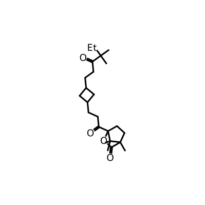 CCC(C)(C)C(=O)CCC1CC(CCC(=O)C23CCC(C)(C(=O)O2)C3(C)C)C1